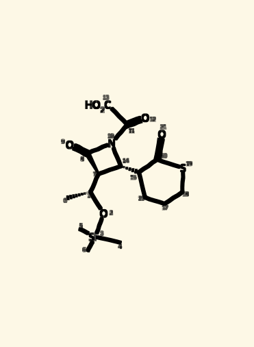 C[C@@H](O[Si](C)(C)C)[C@H]1C(=O)N(C(=O)C(=O)O)[C@@H]1C1CCCSC1=O